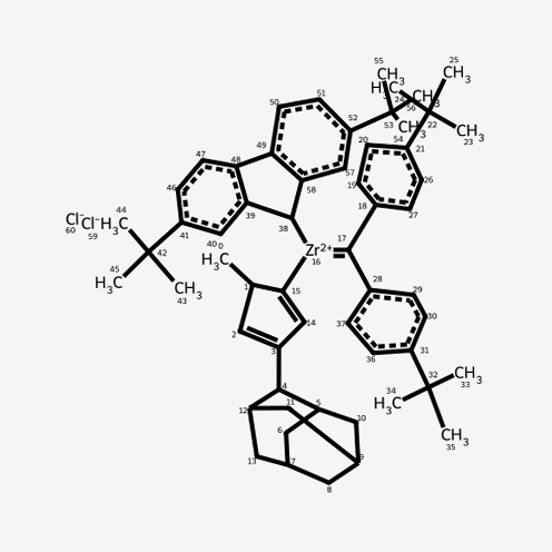 CC1C=C(C2C3CC4CC(C3)CC2C4)C=[C]1[Zr+2](=[C](c1ccc(C(C)(C)C)cc1)c1ccc(C(C)(C)C)cc1)[CH]1c2cc(C(C)(C)C)ccc2-c2ccc(C(C)(C)C)cc21.[Cl-].[Cl-]